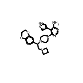 Nc1ncnc(N2CCN(C(CN3CCC3)c3ccc4c(c3)OCCO4)CC2)c1-c1cn[nH]c1